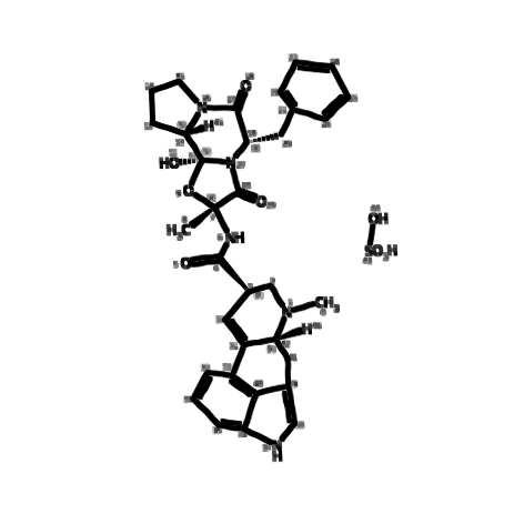 CN1C[C@H](C(=O)N[C@]2(C)O[C@@]3(O)[C@@H]4CCCN4C(=O)[C@H](Cc4ccccc4)N3C2=O)C=C2c3cccc4[nH]cc(c34)C[C@H]21.O=S(=O)(O)O